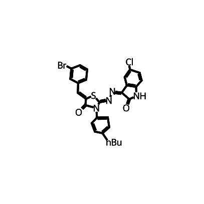 CCCCc1ccc(N2C(=O)C(=Cc3cccc(Br)c3)SC2=NN=C2C(=O)Nc3ccc(Cl)cc32)cc1